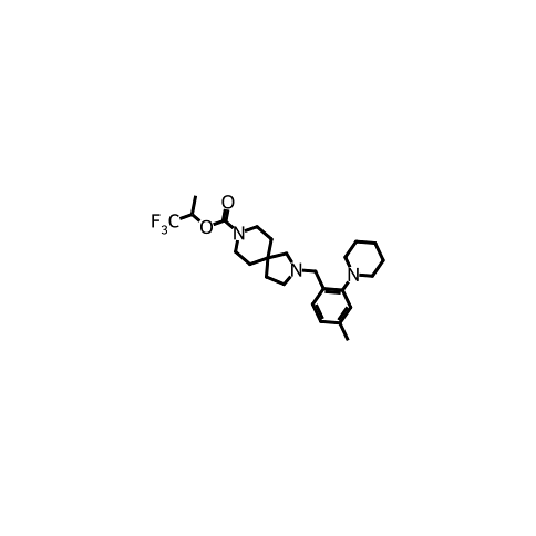 Cc1ccc(CN2CCC3(CCN(C(=O)OC(C)C(F)(F)F)CC3)C2)c(N2CCCCC2)c1